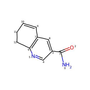 NC(=O)c1cnc2c(c1)C=CCC2